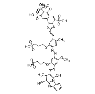 COc1cc(N=Nc2c(C)c(C#N)c3nc4ccccc4n3c2O)c(OCCCS(=O)(=O)O)cc1N=Nc1cc(C)c(N=Nc2nc3c(S(=O)(=O)O)cc4c(OC)c(S(=O)(=O)O)c(S(=O)(=O)O)cc4c3s2)cc1SCCCS(=O)(=O)O